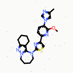 COc1nc(-c2csc(N3CCCCn4nc5c(c43)CCCC5)n2)ccc1-n1cnc(C)c1